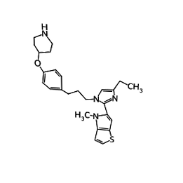 CCc1cn(CCCc2ccc(OC3CCNCC3)cc2)c(-c2cc3sccc3n2C)n1